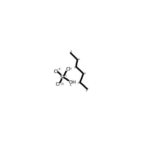 CCCCCC.O[Si](Cl)(Cl)Cl